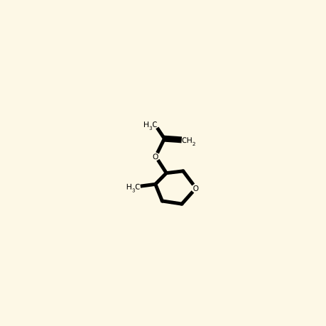 C=C(C)OC1COCCC1C